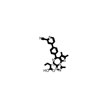 CCC(C(=O)O)[C@@H]1N=C(c2ccc(-c3ccnc(C#N)c3)cc2)c2c(sc(C)c2C)-n2c(C)nnc21